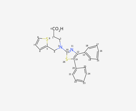 O=C(O)CCN(Cc1cccs1)c1nc(-c2ccccc2)c(-c2ccccc2)s1